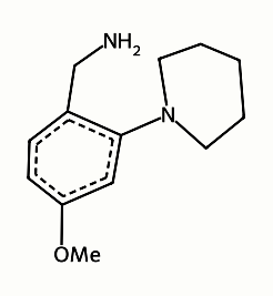 COc1ccc(CN)c(N2CCCCC2)c1